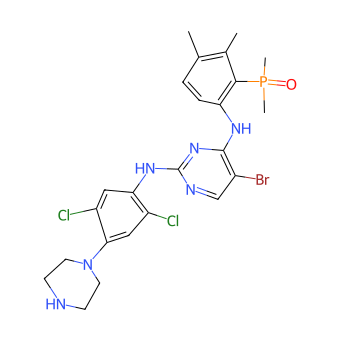 Cc1ccc(Nc2nc(Nc3cc(Cl)c(N4CCNCC4)cc3Cl)ncc2Br)c(P(C)(C)=O)c1C